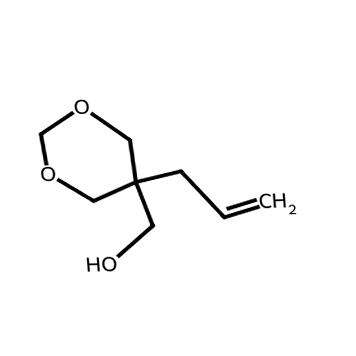 C=CCC1(CO)COCOC1